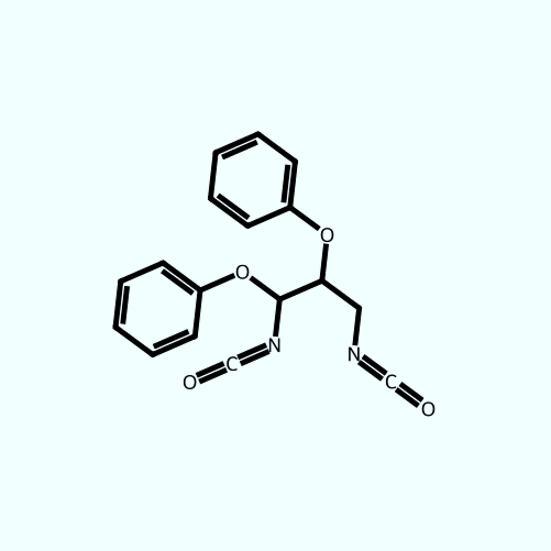 O=C=NCC(Oc1ccccc1)C(N=C=O)Oc1ccccc1